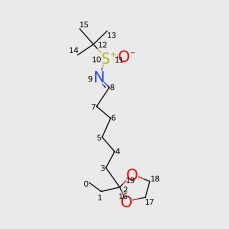 CCC1(CCCCC/C=N/[S@+]([O-])C(C)(C)C)OCCO1